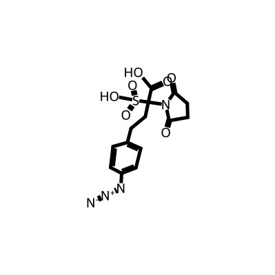 [N-]=[N+]=Nc1ccc(CCC(C(=O)O)(N2C(=O)CCC2=O)S(=O)(=O)O)cc1